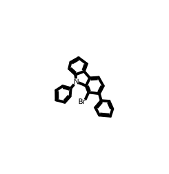 Brc1c(-c2ccccc2)ccc2c3ccccc3n(-c3ccccc3)c12